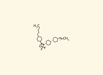 C/C=C/[C@H]1CC[C@H](C2CCC([C@H]3[C@H](C4CCC(CCCCC)CC4)OC3(F)F)CC2)CC1